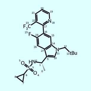 C[C@H](NS(=O)(=O)C1CC1)c1cn(CC(C)(C)C)c2cc(-c3ncccc3C(F)(F)F)c(F)cc12